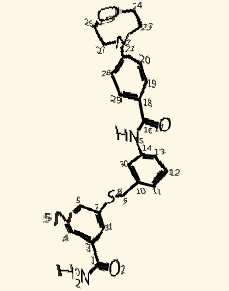 NC(=O)c1cncc(SCc2cccc(NC(=O)c3ccc(N4CCOCC4)cc3)c2)c1